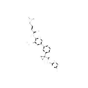 CCc1cnc(NC(=O)C2(c3cccc(-c4cnc(NC(=O)C=CCN(C)C)c(C#N)c4)c3)CC2)s1